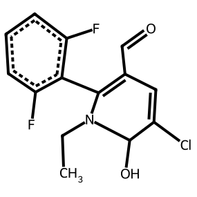 CCN1C(c2c(F)cccc2F)=C(C=O)C=C(Cl)C1O